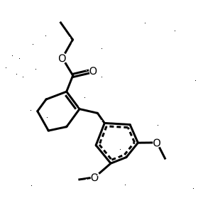 CCOC(=O)C1=C(Cc2cc(OC)cc(OC)c2)CCCC1